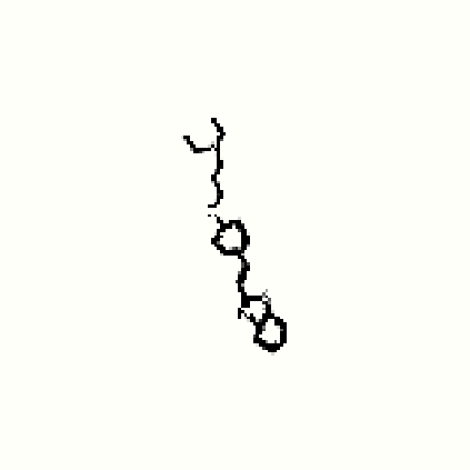 CCN(CC)CCCOc1ccc(C=Cc2nc3ccccc3s2)cc1